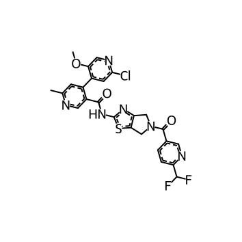 COc1cnc(Cl)cc1-c1cc(C)ncc1C(=O)Nc1nc2c(s1)CN(C(=O)c1ccc(C(F)F)nc1)C2